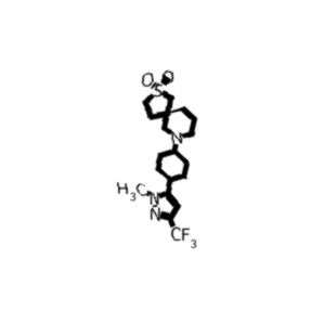 Cn1nc(C(F)(F)F)cc1C1CCC(N2CCC[C@]3(CCS(=O)(=O)C3)C2)CC1